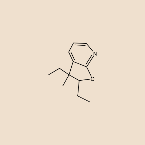 CCC1Oc2ncccc2C1(C)CC